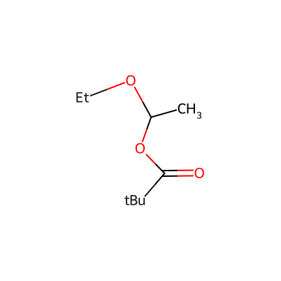 CCOC(C)OC(=O)C(C)(C)C